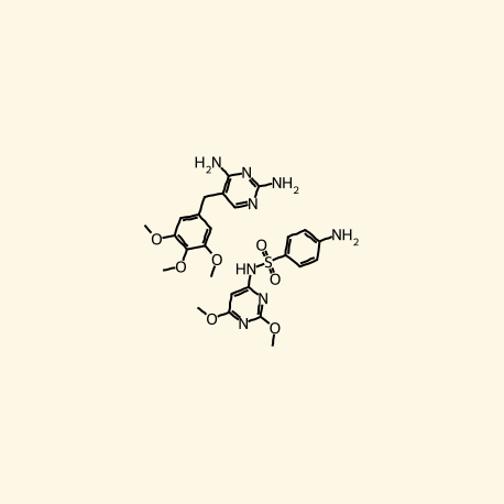 COc1cc(Cc2cnc(N)nc2N)cc(OC)c1OC.COc1cc(NS(=O)(=O)c2ccc(N)cc2)nc(OC)n1